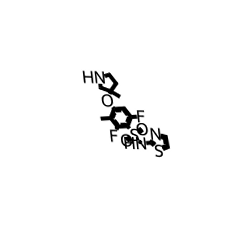 Cc1c(OC2(C)CCNC2)cc(F)c(S(=O)(=O)Nc2nccs2)c1F